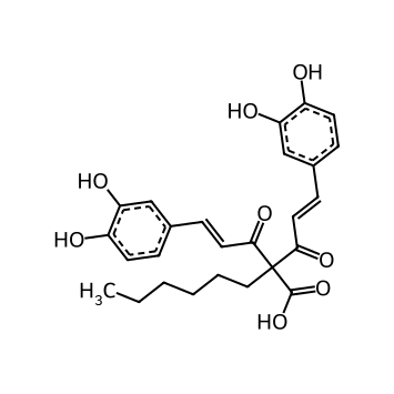 CCCCCCC(C(=O)O)(C(=O)C=Cc1ccc(O)c(O)c1)C(=O)C=Cc1ccc(O)c(O)c1